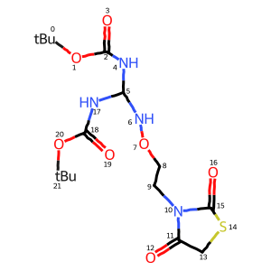 CC(C)(C)OC(=O)NC(NOCCN1C(=O)CSC1=O)NC(=O)OC(C)(C)C